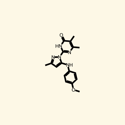 COc1ccc(Nc2cc(C)nn2-c2nc(C)c(C)c(=O)[nH]2)cc1